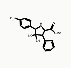 COC(=O)C1NC(c2ccc([N+](=O)[O-])cc2)C(C#N)(C#N)C1c1ccccc1